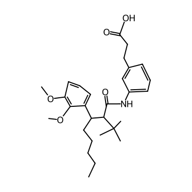 CCCCCC(c1cccc(OC)c1OC)C(C(=O)Nc1cccc(CCC(=O)O)c1)C(C)(C)C